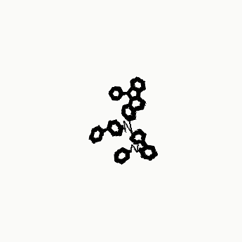 c1ccc(-c2ccc(N(c3ccc4c5c(ccc4c3)-c3ccccc3C5c3ccccc3)c3ccc4c5ccccc5n(-c5ccccc5)c4c3)cc2)cc1